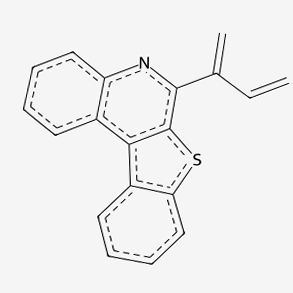 C=CC(=C)c1nc2ccccc2c2c1sc1ccccc12